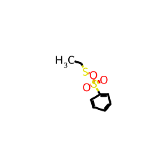 CCSOS(=O)(=O)c1ccccc1